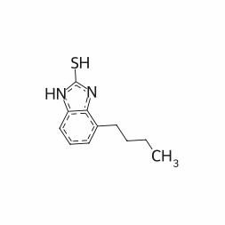 CCCCc1cccc2[nH]c(S)nc12